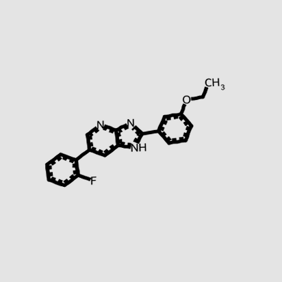 CCOc1cccc(-c2nc3ncc(-c4ccccc4F)cc3[nH]2)c1